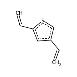 [CH]=Cc1[c]c(C=C)cs1